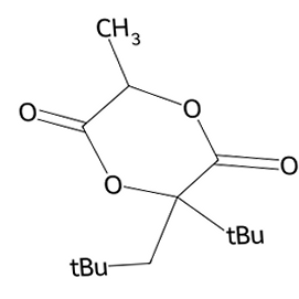 CC1OC(=O)C(CC(C)(C)C)(C(C)(C)C)OC1=O